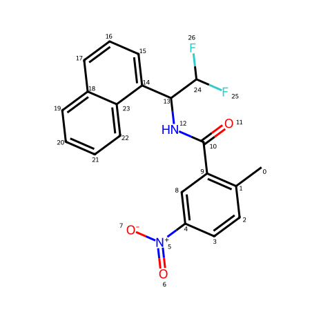 Cc1ccc([N+](=O)[O-])cc1C(=O)NC(c1cccc2ccccc12)C(F)F